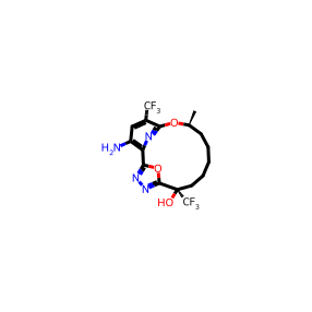 C[C@H]1CCCCC[C@@](O)(C(F)(F)F)c2nnc(o2)-c2nc(c(C(F)(F)F)cc2N)O1